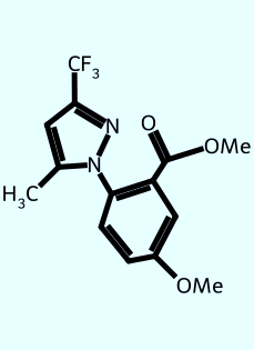 COC(=O)c1cc(OC)ccc1-n1nc(C(F)(F)F)cc1C